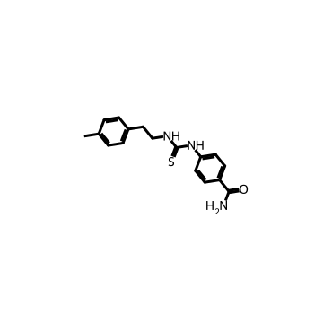 Cc1ccc(CCNC(=S)Nc2ccc(C(N)=O)cc2)cc1